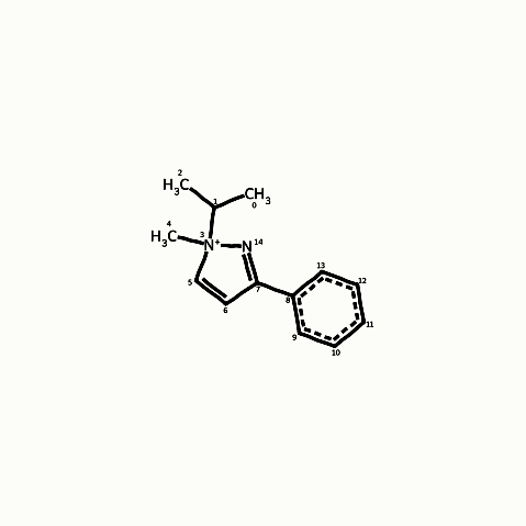 CC(C)[N+]1(C)C=CC(c2ccccc2)=N1